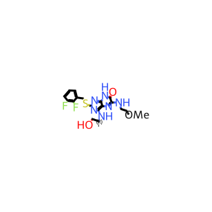 COCCNc1nc2c(N[C@H](C)CO)nc(SCc3cccc(F)c3F)nc2[nH]c1=O